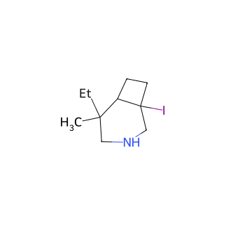 CCC1(C)CNCC2(I)CCC12